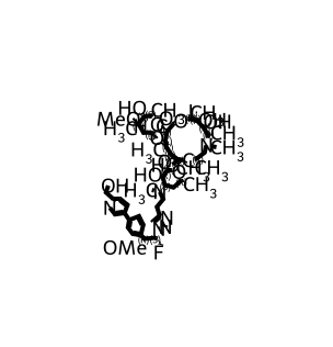 CO[C@H](c1ccc(-c2ccc(CO)nc2)cc1)[C@@H](CF)n1cc(CCN(C)[C@H]2C[C@@H](C)O[C@@H](O[C@@H]3[C@@H](C)[C@H](O[C@H]4C[C@@](C)(OC)[C@@H](O)[C@H](C)O4)[C@@H](C)C(=O)O[C@H](I)[C@@](C)(O)[C@H](O)[C@@H](C)N(C)C[C@H](C)C[C@@]3(C)O)[C@@H]2O)nn1